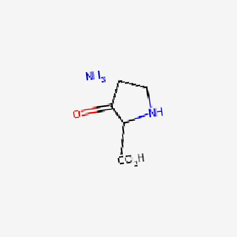 N.O=C(O)C1NCCC1=O